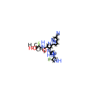 CC(C)(O)[C@H](F)CNC(=O)c1cnc(-c2ccc3cc(C#N)cnn23)cc1Nc1cnn([C@H]2CNC[C@H]2F)c1